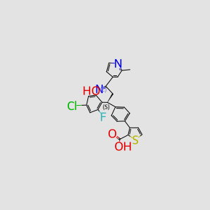 Cc1cc(/C(C[C@@H](c2ccc(-c3ccsc3C(=O)O)cc2)c2ccc(Cl)cc2F)=N/O)ccn1